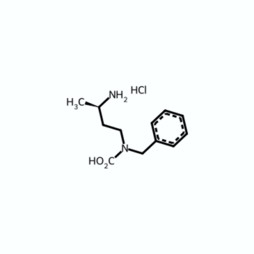 C[C@@H](N)CCN(Cc1ccccc1)C(=O)O.Cl